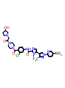 Cn1c(-c2cn(-c3ccc([N+](=O)[O-])cn3)nc2C(F)(F)F)cnc1C(=O)Nc1ccc(C(=O)N2CCN(C(=O)CN3CCC(O)C3)CC2)c(Cl)c1